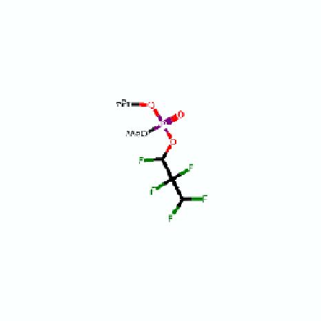 CCCOP(=O)(OC)OC(F)C(F)(F)C(F)F